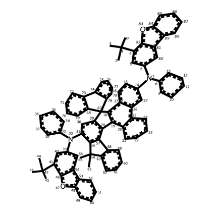 CC(C)(C)c1cc(N(c2ccccc2)c2ccc3c4c(c5ccccc5c3c2)-c2c(cc(N(c3ccccc3)c3cc(C(C)(C)C)c5oc6ccccc6c5c3)c3c2-c2ccccc2C3(C)C)C42c3ccccc3-c3ccccc32)cc2c1oc1ccccc12